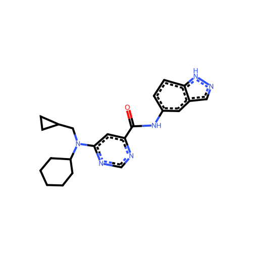 O=C(Nc1ccc2[nH]ncc2c1)c1cc(N(CC2CC2)C2CCCCC2)ncn1